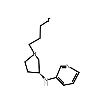 FCCCN1CC[C@H](Nc2cccnc2)C1